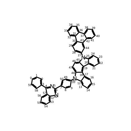 c1ccc(-c2nc(-c3ccc(-n4c5ccccc5c5c6c7ccccc7n(-c7ccc8c9ccccc9c9ccccc9c8c7)c6ccc54)cc3)nc3ccccc23)cc1